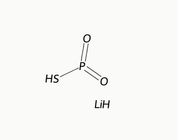 O=P(=O)S.[LiH]